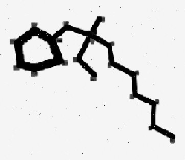 CCCCCCC[N+](C)(CC)Cc1ccccc1